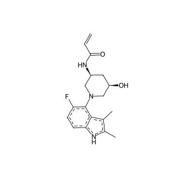 C=CC(=O)N[C@H]1C[C@@H](O)CN(c2c(F)ccc3[nH]c(C)c(C)c23)C1